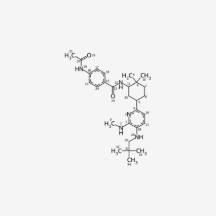 CNc1nc(C2CCC(C)(C)C(NC(=O)c3ccc(NC(C)=O)cc3)C2)ccc1NCC(C)(C)C